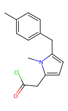 Cc1ccc(Cc2ccc(CC(=O)Cl)n2C)cc1